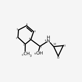 CC1CCC=CC1C(O)NC1CC1